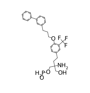 NC(CO)(CCc1ccc(OCCCc2cccc(-c3ccccc3)c2)c(C(F)(F)F)c1)CO[PH2]=O